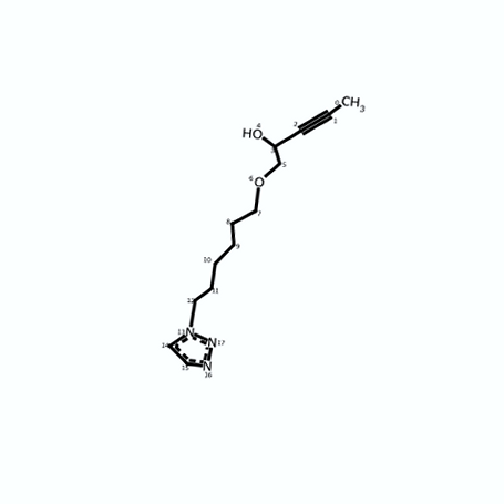 CC#CC(O)COCCCCCCn1ccnn1